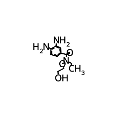 CCN(OCCO)C(=O)c1ccc(N)c(N)c1